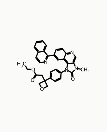 CCOC(=O)CC1(c2ccc(-n3c(=O)n(C)c4cnc5ccc(-c6nccc7ccccc67)cc5c43)cc2)COC1